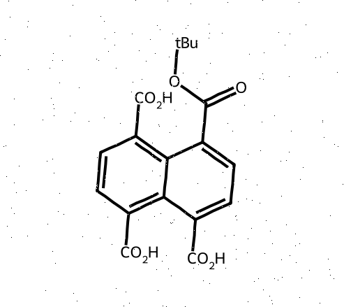 CC(C)(C)OC(=O)c1ccc(C(=O)O)c2c(C(=O)O)ccc(C(=O)O)c12